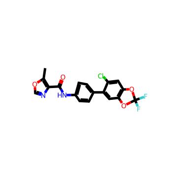 Cc1ocnc1C(=O)Nc1ccc(-c2cc3c(cc2Cl)OC(F)(F)O3)cc1